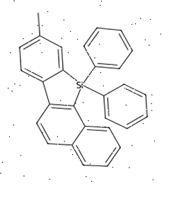 Cc1ccc2c(c1)[Si](c1ccccc1)(c1ccccc1)c1c-2ccc2ccccc12